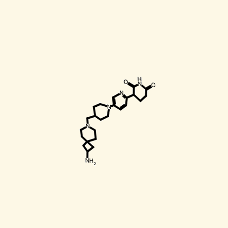 NC1CC2(CCN(CC3CCN(c4ccc(C5CCC(=O)NC5=O)nc4)CC3)CC2)C1